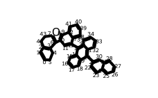 C1=CC2=C(CC1)c1c(oc3c1cc(-c1c4ccccc4c(-c4ccc5ccccc5c4)c4ccccc14)c1ccccc13)CC2